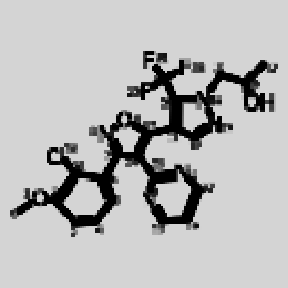 COc1cccc(-c2noc(-c3cnn(CC(C)O)c3C(F)(F)F)c2-c2ncccn2)c1Cl